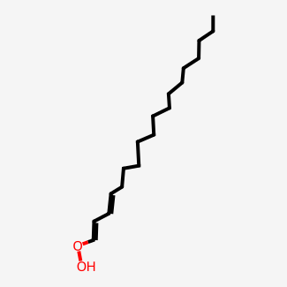 CCCCCCCCCCCCCCC=CC=COO